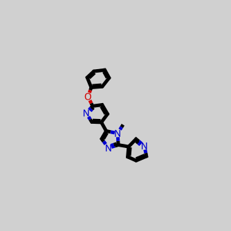 Cn1c(-c2ccc(Oc3ccccc3)nc2)cnc1-c1cccnc1